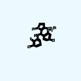 CCOC(=O)c1ccn(C(C)C)c1C(Nc1cccc(Cl)c1F)c1ccc(Cl)cc1C